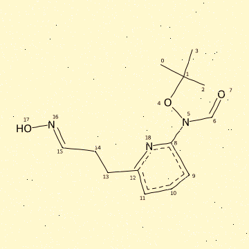 CC(C)(C)ON(C=O)c1cccc(CCC=NO)n1